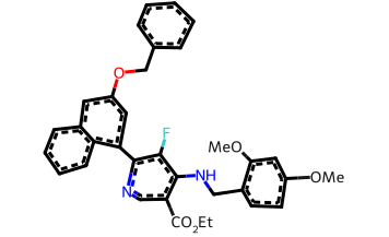 CCOC(=O)c1cnc(-c2cc(OCc3ccccc3)cc3ccccc23)c(F)c1NCc1ccc(OC)cc1OC